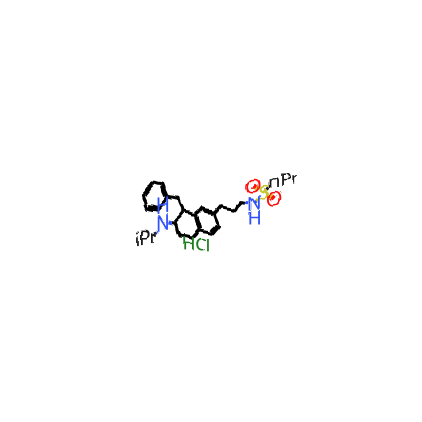 CCCS(=O)(=O)NCCCc1ccc2c(c1)C(Cc1ccccc1)C(NC(C)C)CC2.Cl